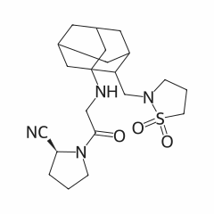 N#C[C@@H]1CCCN1C(=O)CNC12CC3CC(CC(C3)C1CN1CCCS1(=O)=O)C2